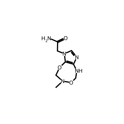 CN1COc2c(ncn2CC(N)=O)NCO1